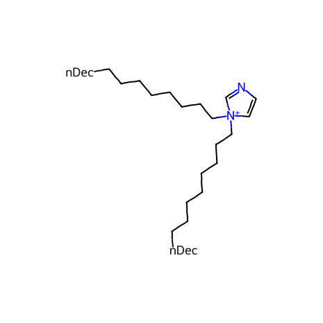 CCCCCCCCCCCCCCCCCC[N+]1(CCCCCCCCCCCCCCCCCC)C=CN=C1